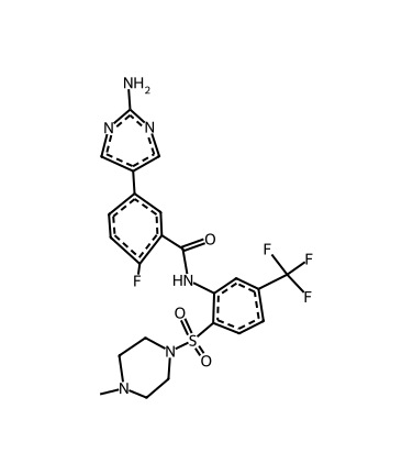 CN1CCN(S(=O)(=O)c2ccc(C(F)(F)F)cc2NC(=O)c2cc(-c3cnc(N)nc3)ccc2F)CC1